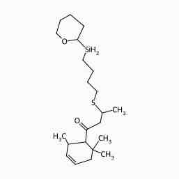 CC(CC(=O)C1C(C)C=CCC1(C)C)SCCCC[SiH2]C1CCCCO1